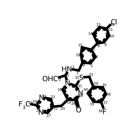 O=CC(NCc1ccc(-c2ccc(Cl)cc2)cc1)n1cc(Cc2cnc(C(F)(F)F)nc2)c(=O)nc1SCc1ccc(F)cc1